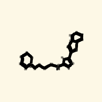 c1ccc2oc(-c3nnc(NCCCCN4CCCCC4)o3)cc2c1